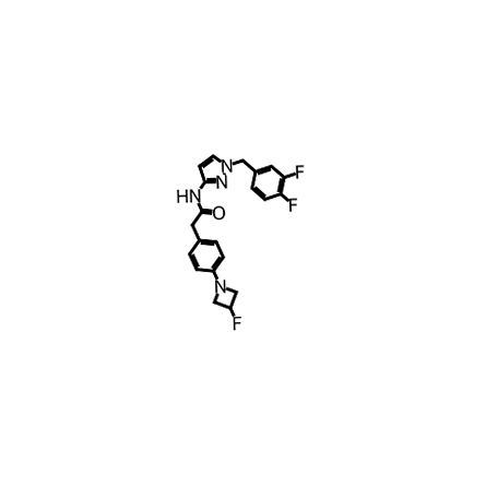 O=C(Cc1ccc(N2CC(F)C2)cc1)Nc1ccn(Cc2ccc(F)c(F)c2)n1